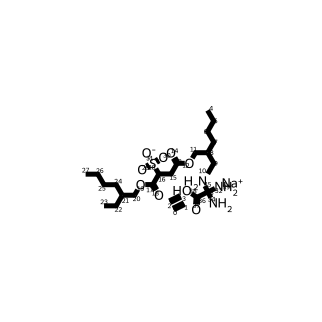 C=C.C=C.CCCCC(CC)COC(=O)CC(C(=O)OCC(CC)CCCC)S(=O)(=O)[O-].NC(N)(N)C(=O)O.[Na+]